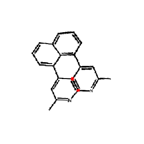 Cc1cc(-c2cccc3cccc(-c4ccnc(C)c4)c23)ccn1